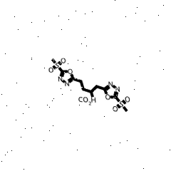 CS(=O)(=O)c1nnc(CCC(Cc2nnc(S(C)(=O)=O)o2)C(=O)O)o1